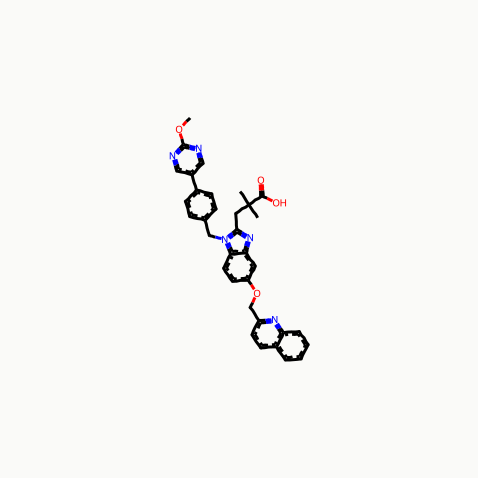 COc1ncc(-c2ccc(Cn3c(CC(C)(C)C(=O)O)nc4cc(OCc5ccc6ccccc6n5)ccc43)cc2)cn1